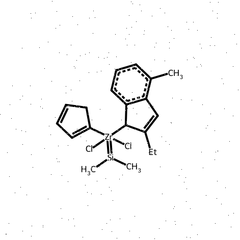 CCC1=Cc2c(C)cccc2[CH]1[Zr]([Cl])([Cl])([C]1=CC=CC1)=[Si](C)C